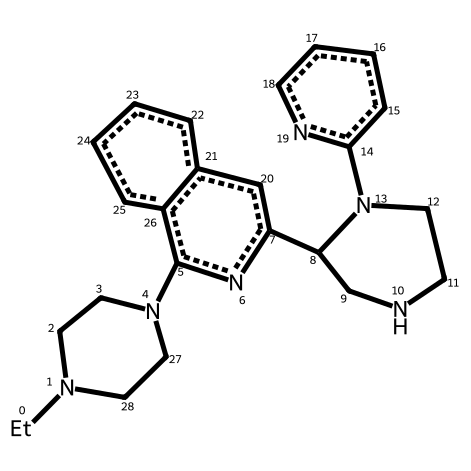 CCN1CCN(c2nc(C3CNCCN3c3ccccn3)cc3ccccc23)CC1